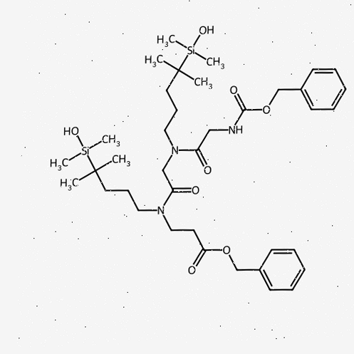 CC(C)(CCCN(CCC(=O)OCc1ccccc1)C(=O)CN(CCCC(C)(C)[Si](C)(C)O)C(=O)CNC(=O)OCc1ccccc1)[Si](C)(C)O